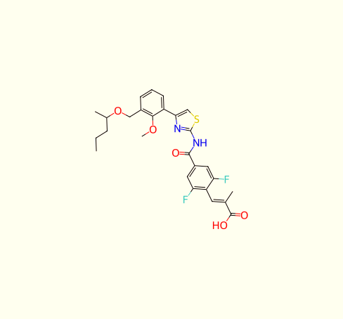 CCCC(C)OCc1cccc(-c2csc(NC(=O)c3cc(F)c(/C=C(\C)C(=O)O)c(F)c3)n2)c1OC